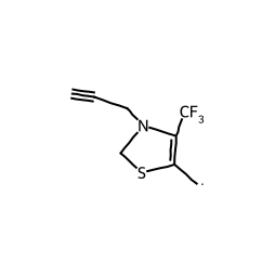 C#CCN1CSC([CH2])=C1C(F)(F)F